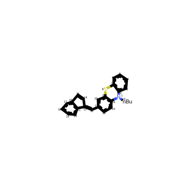 CCCCN1c2ccccc2Sc2cc(C=C3C=Cc4ccccc43)ccc21